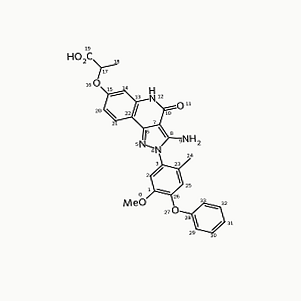 COc1cc(-n2nc3c(c2N)c(=O)[nH]c2cc(OC(C)C(=O)O)ccc23)c(C)cc1Oc1ccccc1